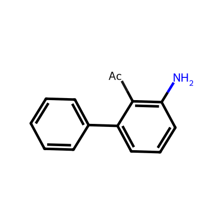 CC(=O)c1c(N)cccc1-c1ccccc1